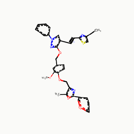 COc1cc(COc2nn(-c3ccccc3)cc2/C=C/c2nc(C)cs2)ccc1OCc1nc(-c2ccco2)oc1C